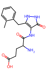 Cc1ccccc1Cc1[nH][nH]c(=O)c1NC(=O)C(N)CCC(=O)O